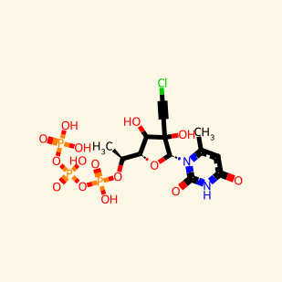 Cc1cc(=O)[nH]c(=O)n1[C@@H]1O[C@H]([C@H](C)OP(=O)(O)OP(=O)(O)OP(=O)(O)O)C(O)C1(O)C#CCl